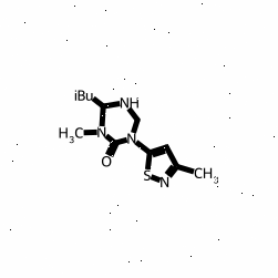 CCC(C)C1NCN(c2cc(C)ns2)C(=O)N1C